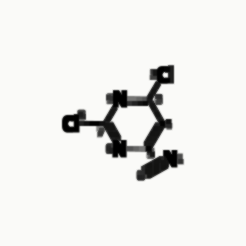 C#N.Clc1ccnc(Cl)n1